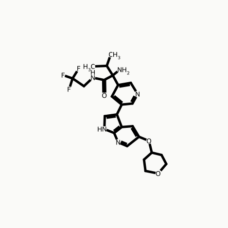 CC(C)C(N)(C(=O)NCC(F)(F)F)c1cncc(-c2c[nH]c3ncc(OC4CCOCC4)cc23)c1